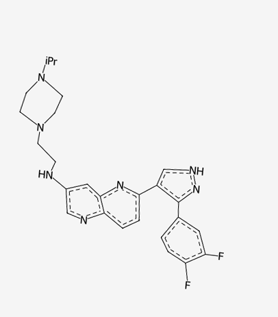 CC(C)N1CCN(CCNc2cnc3ccc(-c4c[nH]nc4-c4ccc(F)c(F)c4)nc3c2)CC1